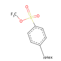 CCCCCCc1ccc(S(=O)(=O)OC(F)(F)F)cc1